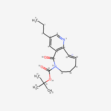 CCCc1cnc2c(c1)C(=O)N(C(=O)OC(C)(C)C)CCC/C=C/2